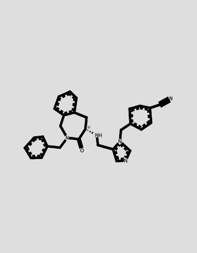 N#Cc1ccc(Cn2cncc2CN[C@H]2Cc3ccccc3CN(Cc3ccccc3)C2=O)cc1